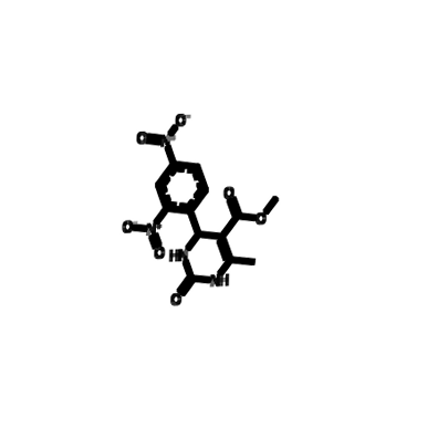 COC(=O)C1=C(C)NC(=O)NC1c1ccc([N+](=O)[O-])cc1[N+](=O)[O-]